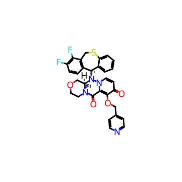 O=C1c2c(OCc3ccncc3)c(=O)ccn2N([C@@H]2c3ccccc3SCc3c2ccc(F)c3F)[C@@H]2COCCN12